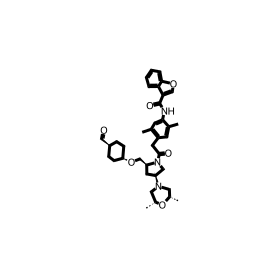 Cc1cc(NC(=O)c2coc3ccccc23)c(C)cc1CC(=O)N1C[C@@H](N2C[C@@H](C)O[C@@H](C)C2)C[C@H]1CO[C@H]1CC[C@H](C=O)CC1